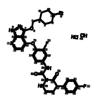 CCN1CCC(COc2n[nH]c3nccc(Oc4ccc(NC(=O)N5NC=CC(c6ccc(F)cc6)C5=O)cc4F)c23)CC1.Cl.Cl